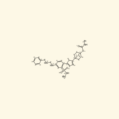 CC(C)NC(=O)OC12CCC(c3ncc(-c4ccc(NCNCc5ccccc5)cc4S(=O)(=O)NC(C)(C)C)s3)(CC1)CC2